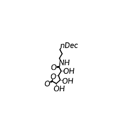 CCCCCCCCCCCCCNC(=O)[C@H](O)[C@H]1OC(=O)[C@@H](O)[C@H]1O